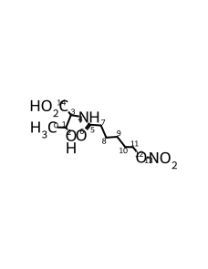 CC(O)C(NC(=O)CCCCCO[N+](=O)[O-])C(=O)O